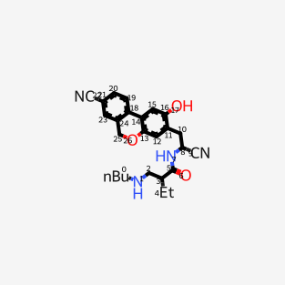 CCCCNCC(CC)C(=O)NC(C#N)Cc1cc2c(cc1O)-c1ccc(C#N)cc1CO2